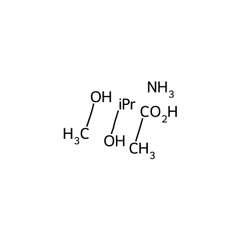 CC(=O)O.CC(C)O.CO.N